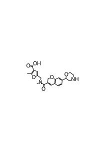 Cc1oc(CN(C)C(=O)C2=Cc3ccc(C4CNCCO4)cc3OC2)cc1C(=O)O